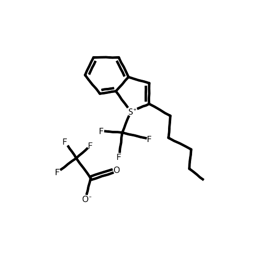 CCCCCc1cc2ccccc2[s+]1C(F)(F)F.O=C([O-])C(F)(F)F